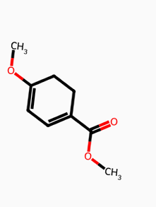 COC(=O)C1=CC=C(OC)CC1